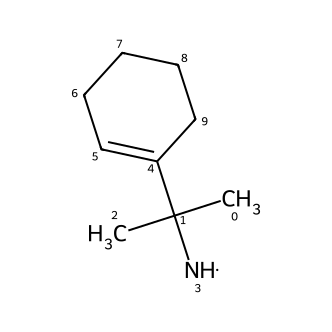 CC(C)([NH])C1=CCCCC1